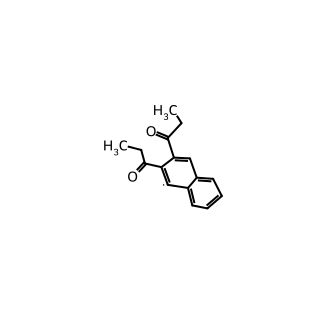 CCC(=O)c1[c]c2ccccc2cc1C(=O)CC